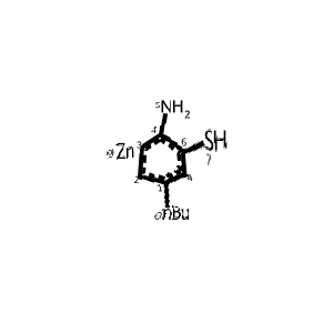 CCCCc1ccc(N)c(S)c1.[Zn]